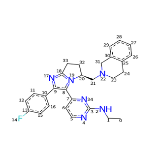 CCNc1nccc(-c2c(-c3ccc(F)cc3)nc3n2[C@H](CN2CCc4ccccc4C2)CC3)n1